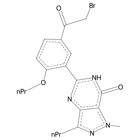 CCCOc1ccc(C(=O)CBr)cc1-c1nc2c(CCC)nn(C)c2c(=O)[nH]1